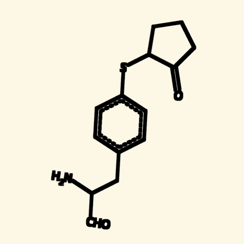 NC(C=O)Cc1ccc(SC2CCCC2=O)cc1